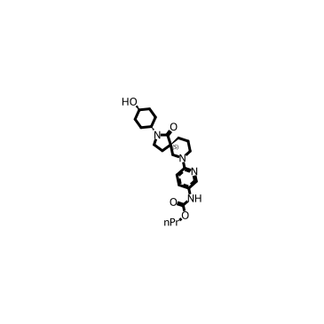 CCCOC(=O)Nc1ccc(N2CCC[C@]3(CCN([C@H]4CC[C@H](O)CC4)C3=O)C2)nc1